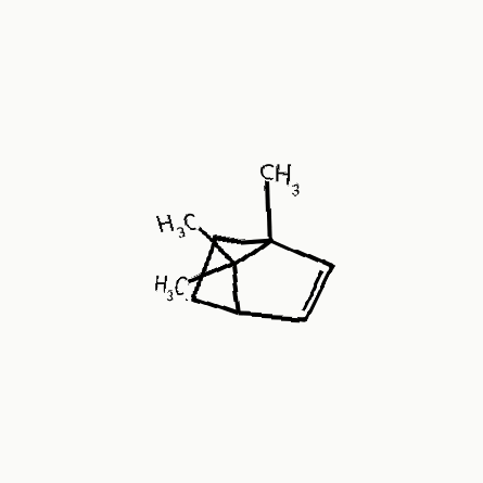 CC12C=CC([CH]C1)C2(C)C